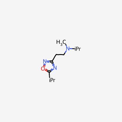 CC(C)c1nc(CCN(C)C(C)C)no1